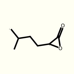 [CH2]C(C)CC[C]1OC1=O